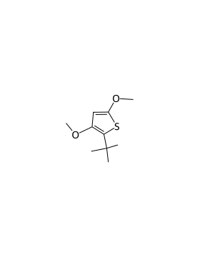 COc1cc(OC)c(C(C)(C)C)s1